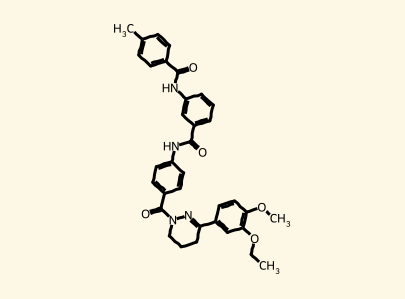 CCOc1cc(C2=NN(C(=O)c3ccc(NC(=O)c4cccc(NC(=O)c5ccc(C)cc5)c4)cc3)CCC2)ccc1OC